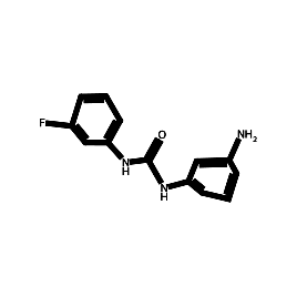 Nc1cccc(NC(=O)Nc2cccc(F)c2)c1